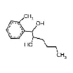 CCCCC(O)C(O)c1ccccc1C